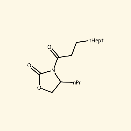 CCCCCCCCCC(=O)N1C(=O)OCC1CCC